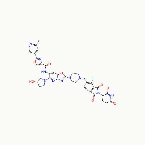 Cc1cc(-c2nc(C(=O)Nc3cc4oc(N5CCN(Cc6ccc7c(c6F)C(=O)N(C6CCC(=O)NC6=O)C7=O)CC5)nc4nc3N3CCC(O)C3)co2)ccn1